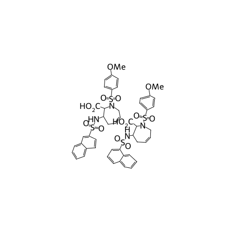 COc1ccc(S(=O)(=O)N2CC=CCC(NS(=O)(=O)c3ccc4ccccc4c3)C2C(=O)O)cc1.COc1ccc(S(=O)(=O)N2CC=CCC(NS(=O)(=O)c3cccc4ccccc34)C2C(=O)O)cc1